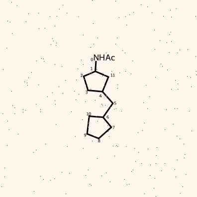 CC(=O)NC1CCC(CC2CCCC2)C1